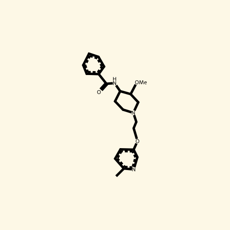 COC1CN(CCOc2ccc(C)nc2)CCC1NC(=O)c1ccccc1